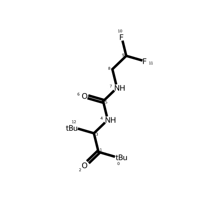 CC(C)(C)C(=O)C(NC(=O)NCC(F)F)C(C)(C)C